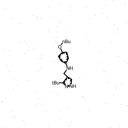 CCCCOc1ccc(NCc2c[nH]nc2C(C)(C)C)cc1